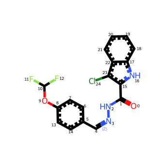 O=C(N/N=C\c1ccc(OC(F)F)cc1)c1[nH]c2ccccc2c1Cl